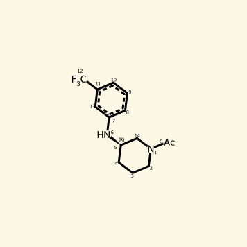 CC(=O)N1CCC[C@@H](Nc2cccc(C(F)(F)F)c2)C1